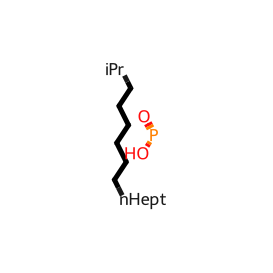 CCCCCCCCCCCCCC(C)C.O=PO